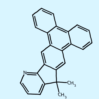 CC1(C)c2cc3c4ccccc4c4ccccc4c3cc2-c2ncccc21